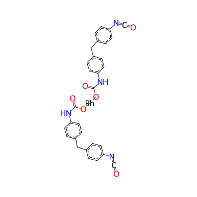 O=C=Nc1ccc(Cc2ccc(NC(=O)[O][Rh][O]C(=O)Nc3ccc(Cc4ccc(N=C=O)cc4)cc3)cc2)cc1